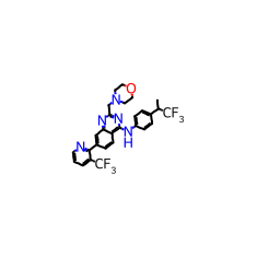 CC(c1ccc(Nc2nc(CN3CCOCC3)nc3cc(-c4ncccc4C(F)(F)F)ccc23)cc1)C(F)(F)F